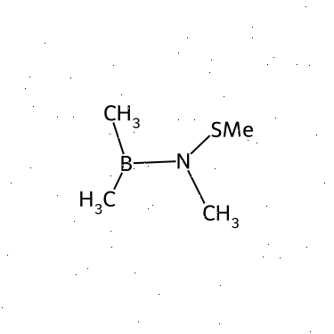 CSN(C)B(C)C